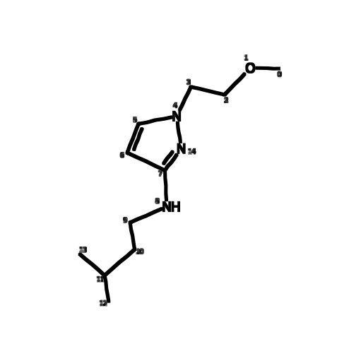 COCCn1ccc(NCCC(C)C)n1